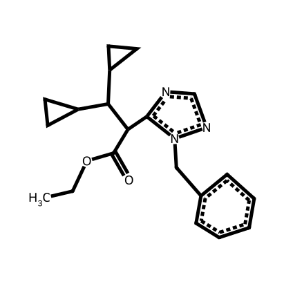 CCOC(=O)C(c1ncnn1Cc1ccccc1)C(C1CC1)C1CC1